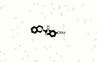 COc1ccc2nc(N3CCc4ccccc4C3)[nH]c2c1